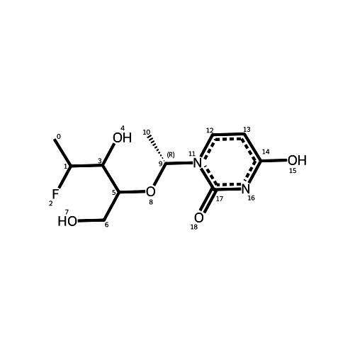 CC(F)C(O)C(CO)O[C@H](C)n1ccc(O)nc1=O